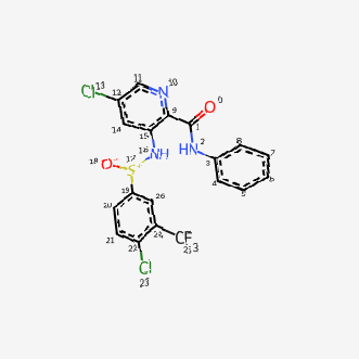 O=C(Nc1ccccc1)c1ncc(Cl)cc1N[S+]([O-])c1ccc(Cl)c(C(F)(F)F)c1